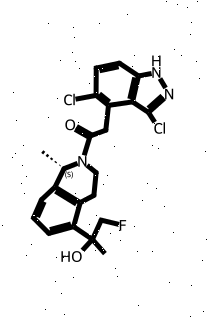 C[C@H]1c2cccc(C(C)(O)CF)c2CCN1C(=O)Cc1c(Cl)ccc2[nH]nc(Cl)c12